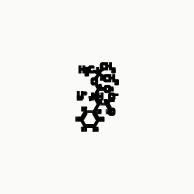 CC(C)(C)OC(=O)NC(C(=O)[O-])c1ccccc1.[Li+]